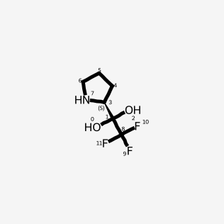 OC(O)([C@@H]1CCCN1)C(F)(F)F